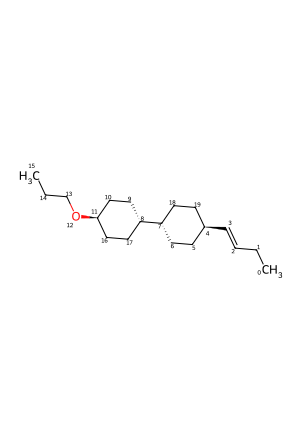 CC/C=C/[C@H]1CC[C@H]([C@H]2CC[C@H](OCCC)CC2)CC1